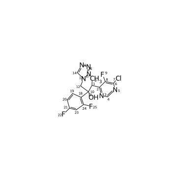 CC(c1ncnc(Cl)c1F)C(O)(Cn1cnnn1)c1ccc(F)cc1F